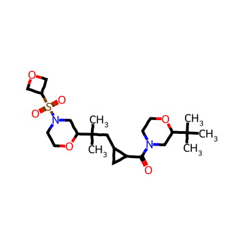 CC(C)(C)C1CN(C(=O)C2CC2CC(C)(C)C2CN(S(=O)(=O)C3COC3)CCO2)CCO1